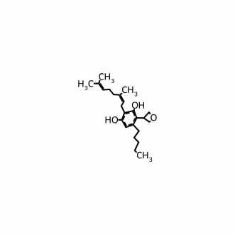 CCCCCc1cc(O)c(CC=C(C)CCC=C(C)C)c(O)c1C1COC1